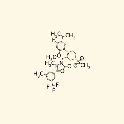 COc1cc(F)c(C(C)C)cc1C1=C(CN2C(=O)O[C@H](c3cc(C)cc(C(F)(F)F)c3)[C@@H]2C)CC(S(C)(=O)=O)CC1